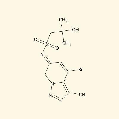 CC(C)(O)CS(=O)(=O)N=C1C=C(Br)c2c(C#N)cnn2C1